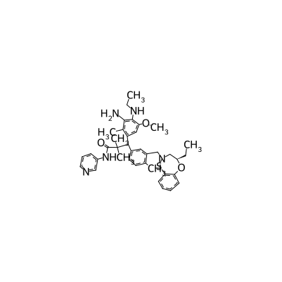 CCNc1c(OC)cc(C(c2ccc(C)c(CN3C[C@@H](CC)Oc4ccccc4S3)c2)C(C)(C)C(=O)Nc2cccnc2)c(C)c1N